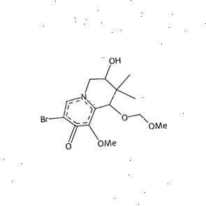 COCOC1c2c(OC)c(=O)c(Br)cn2CC(O)C1(C)C